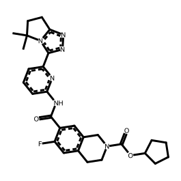 CC1(C)CCc2nnc(-c3cccc(NC(=O)c4cc5c(cc4F)CCN(C(=O)OC4CCCC4)C5)n3)n21